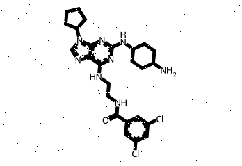 NC1CCC(Nc2nc(NCCNC(=O)c3cc(Cl)cc(Cl)c3)c3ncn(C4CCCC4)c3n2)CC1